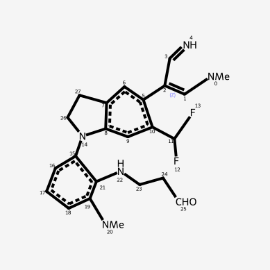 CN/C=C(\C=N)c1cc2c(cc1C(F)F)N(c1cccc(NC)c1NCCC=O)CC2